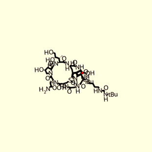 CC[C@H](C)[C@@H]1NC(=O)CNC(=O)[C@@H]2Cc3c([nH]c4c(CSCCCCNC(=O)NC(C)(C)C)c(O)ccc34)[S+]([O-])C[C@H](NC(=O)CNC1=O)C(=O)N[C@@H](CC(N)=O)C(=O)N1C[C@H](O)C[C@H]1C(=O)N[C@@H]([C@@H](C)[C@@H](O)CO)C(=O)N2